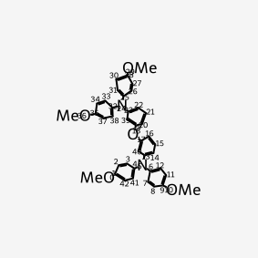 COc1ccc(N(c2ccc(OC)cc2)c2cccc(Oc3cccc(N(c4ccc(OC)cc4)c4ccc(OC)cc4)c3)c2)cc1